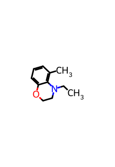 CCN1CCOc2cccc(C)c21